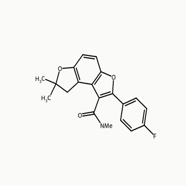 CNC(=O)c1c(-c2ccc(F)cc2)oc2ccc3c(c12)CC(C)(C)O3